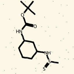 CS(=S)NC1CCCC(NC(=O)OC(C)(C)C)C1